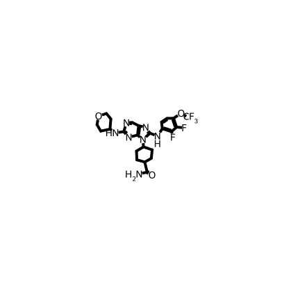 NC(=O)C1CCC(n2c(Nc3ccc(OC(F)(F)F)c(F)c3F)nc3cnc(NC4CCOCC4)nc32)CC1